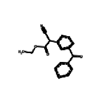 CCOC(=O)C(C#N)c1cccc(C(=O)c2ccccc2)c1